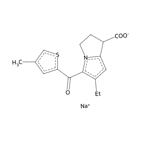 CCc1cc2n(c1C(=O)c1cc(C)cs1)CCC2C(=O)[O-].[Na+]